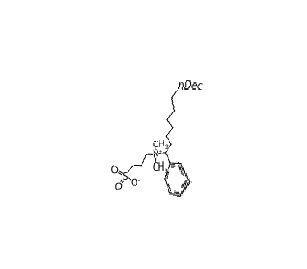 CCCCCCCCCCCCCCCCC(c1ccccc1)[N+](C)(C)CCCS(=O)(=O)[O-]